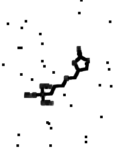 CO[Si](CCCOCC1CSC(=S)O1)(OC)OC